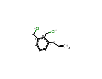 C=CCc1cccc(CCl)c1CCl